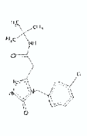 CC(C)(C)NC(=O)Cc1n[nH]c(=O)n1-c1cccc(Cl)c1